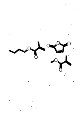 C=C(C)C(=O)OC.C=C(C)C(=O)OCCCC.O=C1C=CC(=O)O1